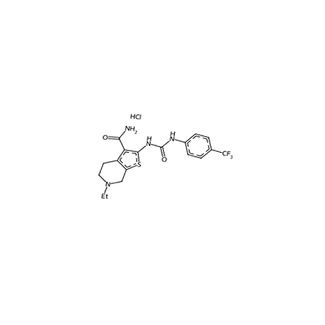 CCN1CCc2c(sc(NC(=O)Nc3ccc(C(F)(F)F)cc3)c2C(N)=O)C1.Cl